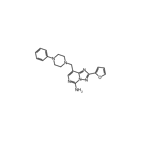 Nc1ncc(CN2CCN(c3ccccc3)CC2)c2nc(-c3ccco3)nn12